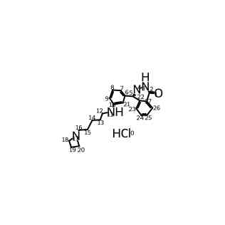 Cl.O=c1[nH]nc(-c2cccc(NCCCCCN3CCC3)c2)c2ccccc12